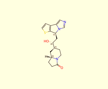 O=C1CC[C@@H]2C[C@@H]([C@H](O)C[C@H]3c4sccc4-c4cncn43)CCN12